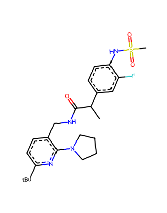 CC(C(=O)NCc1ccc(C(C)(C)C)nc1N1CCCC1)c1ccc(NS(C)(=O)=O)c(F)c1